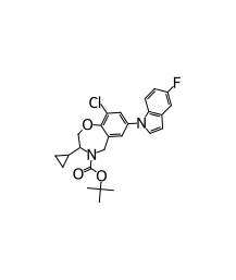 CC(C)(C)OC(=O)N1Cc2cc(-n3ccc4cc(F)ccc43)cc(Cl)c2OCC1C1CC1